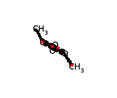 CCCCCCCCCOc1ccc(C2CCC3(CC2)C(=O)C2(CCC(c4ccc(OCCCCCCCCC)cc4)CC2)C3=O)cc1